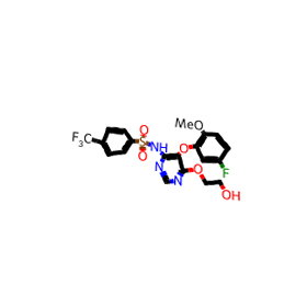 COc1ccc(F)cc1Oc1c(NS(=O)(=O)c2ccc(C(F)(F)F)cc2)ncnc1OCCO